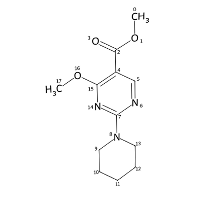 COC(=O)c1cnc(N2CCCCC2)nc1OC